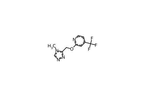 Cn1cnnc1COc1cc(C(F)(F)F)ccn1